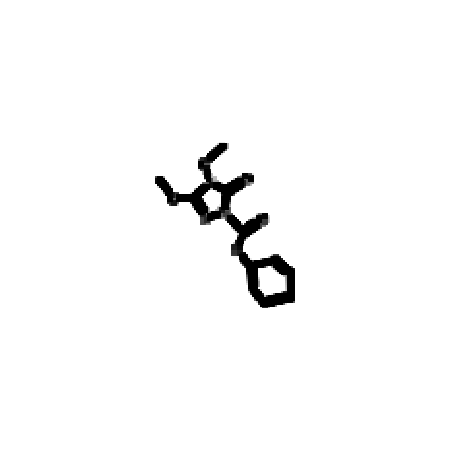 COc1nn(C(=O)Oc2ccccc2)c(=O)n1OC